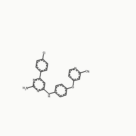 N#Cc1cc(Oc2ccc(Nc3cc(-c4ccc(Cl)cc4)nc(N)n3)cc2)ccn1